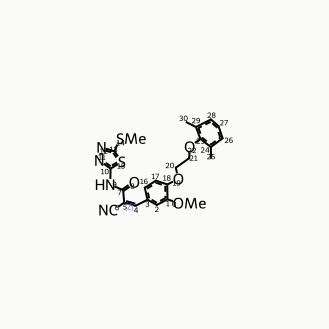 COc1cc(/C=C(/C#N)C(=O)Nc2nnc(SC)s2)ccc1OCCOc1c(C)cccc1C